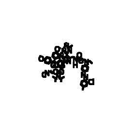 [C-]#[N+]CCOP(OC1CC(n2nc(CNC(=O)OCN(CC)c3ccc(/N=N/c4ccc(C)cc4Cl)cc3)c3c(/N=C(/C)N(C)C)ncnc32)OC1COC(c1ccccc1)(c1ccc(OC)cc1)c1ccc(OC)cc1)N(C(C)C)C(C)C